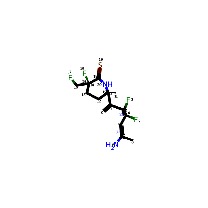 C=C(/C(F)=C(F)\C=C(/C)N)[C@]1(C)CC[C@](F)(CF)C(=S)N1